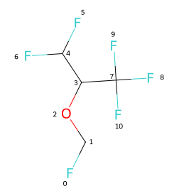 FCOC(C(F)F)C(F)(F)F